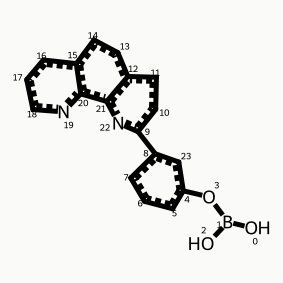 OB(O)Oc1cccc(-c2ccc3ccc4cccnc4c3n2)c1